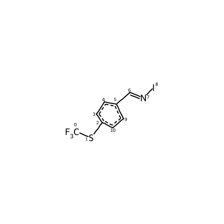 FC(F)(F)Sc1ccc(/C=N/I)cc1